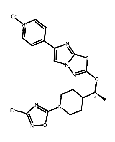 CC(C)c1noc(N2CCC([C@H](C)Oc3nn4cc(-c5cc[n+]([O-])cc5)nc4s3)CC2)n1